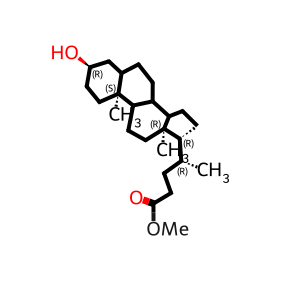 COC(=O)CC[C@@H](C)[C@H]1CCC2C3CCC4C[C@H](O)CC[C@]4(C)C3CC[C@@]21C